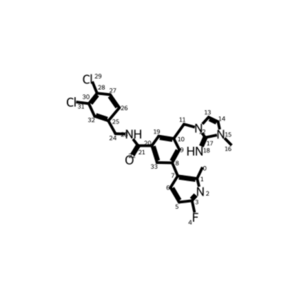 Cc1nc(F)ccc1-c1cc(Cn2ccn(C)c2=N)cc(C(=O)NCc2ccc(Cl)c(Cl)c2)c1